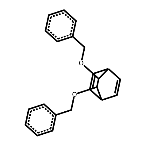 C1=CC2C=CC1C(OCc1ccccc1)C2OCc1ccccc1